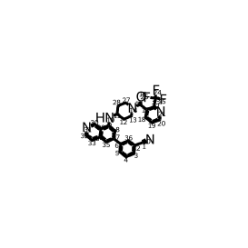 N#Cc1cccc(-c2cc(NC3CCN(C(=O)c4cccnc4C(F)(F)F)CC3)c3cnccc3c2)c1